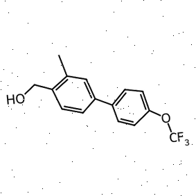 Cc1cc(-c2ccc(OC(F)(F)F)cc2)ccc1CO